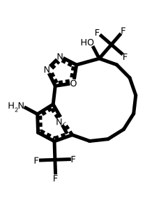 Nc1cc(C(F)(F)F)c2nc1-c1nnc(o1)C(O)(C(F)(F)F)CCCCCCC2